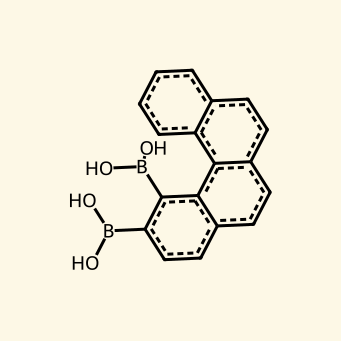 OB(O)c1ccc2ccc3ccc4ccccc4c3c2c1B(O)O